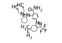 C#CCN(CC#C)[C@@H]1CCCC[C@H]1Nc1cc(-n2nc(C(F)(F)F)c3c2CC(C)(C)CC3)ccc1C(N)=O